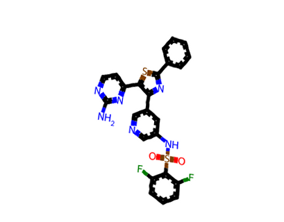 Nc1nccc(-c2sc(-c3ccccc3)nc2-c2cncc(NS(=O)(=O)c3c(F)cccc3F)c2)n1